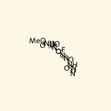 COC(=O)NC[C@H]1CN(c2ccc(N3CCN(C(=O)CNC(=O)c4cnccn4)CC3)c(F)c2)C(=O)O1